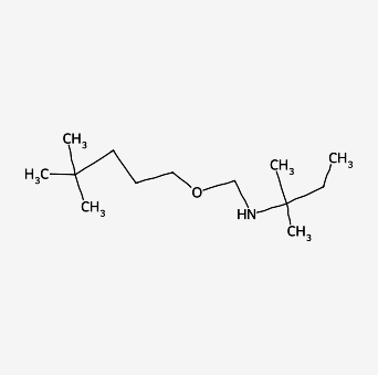 CCC(C)(C)NCOCCCC(C)(C)C